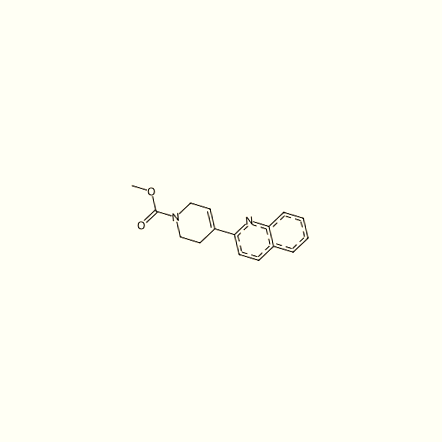 COC(=O)N1CC=C(c2ccc3ccccc3n2)CC1